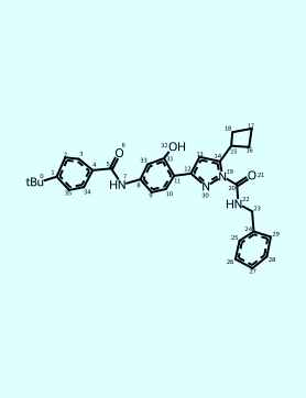 CC(C)(C)c1ccc(C(=O)Nc2ccc(-c3cc(C4CCC4)n(C(=O)NCc4ccccc4)n3)c(O)c2)cc1